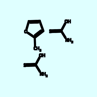 Cc1ccco1.NC(O)=S.NC(O)=S